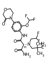 CC(C)(C)CN(CC(F)F)[C@H](C(N)=O)C(=O)Nc1ccc(N2CCOCC2=O)cc1OC(F)F